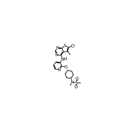 Cc1c(Cl)sc2ncnc(Nc3cccnc3O[C@H]3CC[C@H](N(C)S(C)(=O)=O)CC3)c12